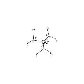 C[CH](C)[Ge]([CH](C)C)[CH](C)C